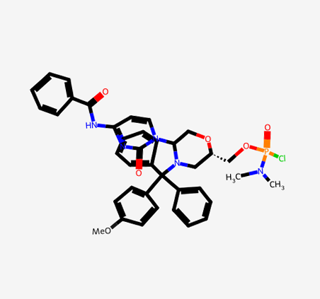 COc1ccc(C(c2ccccc2)(c2ccccc2)N2C[C@@H](COP(=O)(Cl)N(C)C)OCC2n2ccc(NC(=O)c3ccccc3)nc2=O)cc1